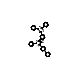 c1ccc(-c2ccc(-c3nc(-c4ccccc4)nc4c3sc3ccc(-c5nc(-c6ccccc6)nc(-c6ccccc6)n5)cc34)cc2)cc1